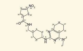 CN(C)c1nc(NC2CCC(CNC(=O)c3ccc([N+](=O)[O-])s3)CC2)nc2c1CCCC2